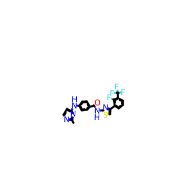 Cc1nccc(Nc2ccc(C(=O)Nc3nc(-c4cccc(C(F)(F)F)c4F)cs3)cc2)n1